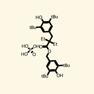 CCC(CC)(Cc1cc(C(C)(C)C)c(O)c(C(C)(C)C)c1)C(=O)OCc1cc(C(C)(C)C)c(O)c(C(C)(C)C)c1.O=P(O)(O)O